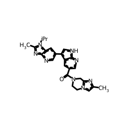 Cc1cn2c(n1)CN(C(=O)c1cnc3[nH]cc(-c4cnc5nc(C)n(C(C)C)c5c4)c3c1)CC2